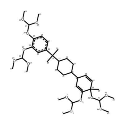 COC(OC)OC1=CC(C2CCC(C(C)(C)c3ccc(OC(OC)OC)c(OC(OC)OC)c3)CC2)C=CC1(C)OC(OC)OC